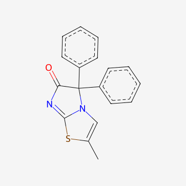 CC1=CN2C(=NC(=O)C2(c2ccccc2)c2ccccc2)S1